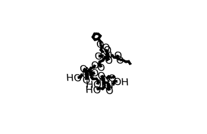 CCCCOC(=O)CCn1c(=O)n(CCC(=O)OCCn2c(=O)n(CCO)c(=O)n(CCC(O)N3C(=O)N(COC)C4C3N(CCO)C(=O)N4CCO)c2=O)c(=O)n(CC(=O)OCC2CCCCC2)c1=O